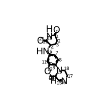 O=C1CCC(Nc2ccc3c(c2)OC[C@@H]2C=NCCN32)C(=O)N1